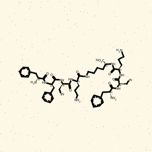 CC(C)C[C@@H](NC(=O)[C@H](N)Cc1ccccc1)C(=O)N[C@H](CCCN)C(=O)N[C@H](CCCCNC(=O)[C@@H](CCCN)NC(=O)[C@@H](CC(C)C)NC(=O)[C@@H](Cc1ccccc1)NC(=O)[C@H](N)Cc1ccccc1)C(=O)O